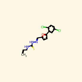 C=CCNC(=S)N/N=C/c1ccc(-c2cc(Cl)ccc2Cl)o1